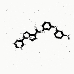 COc1cccc(Oc2cccc(NC(=O)c3ccn4c3CSC4c3cccnc3)c2)c1